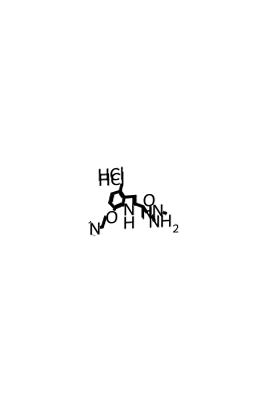 CNC(N)=NC(=O)c1cc2c(C)ccc(OCCN(C)C)c2[nH]1.Cl.Cl